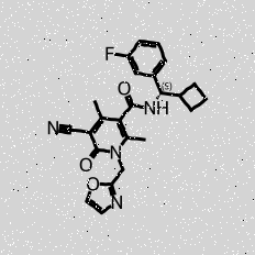 Cc1c(C(=O)N[C@H](c2cccc(F)c2)C2CCC2)c(C)n(Cc2ncco2)c(=O)c1C#N